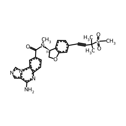 CN(C(=O)c1ccc2nc(N)c3cncn3c2c1)[C@@H]1COc2cc(C#CC(C)(C)S(C)(=O)=O)ccc21